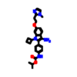 CC(C)OC(=O)Nc1ccc(-c2c(N)c3ccc(OCCc4nccn4C)cc3n2C2CCC2)cc1